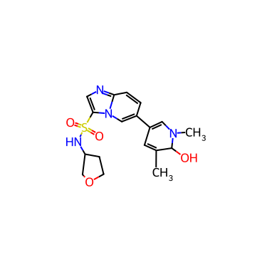 CC1=CC(c2ccc3ncc(S(=O)(=O)NC4CCOC4)n3c2)=CN(C)C1O